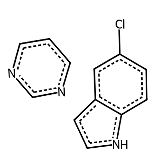 Clc1ccc2[nH]ccc2c1.c1cncnc1